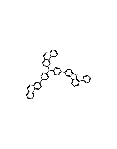 c1ccc(-c2cccc3c2oc2ccc(-c4ccc(N(c5ccc(-c6ccc7c(ccc8ccccc87)c6)cc5)c5ccc6ccc7ccccc7c6c5)cc4)cc23)cc1